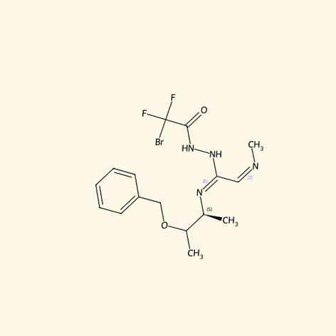 C/N=C\C(=N/[C@@H](C)C(C)OCc1ccccc1)NNC(=O)C(F)(F)Br